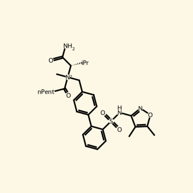 CCCCCC(=O)[N+](C)(Cc1ccc(-c2ccccc2S(=O)(=O)Nc2noc(C)c2C)cc1)[C@H](C(N)=O)C(C)C